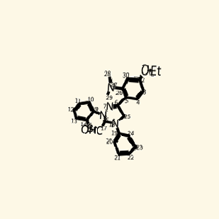 CCOc1ccc(C2=NN(c3ccccc3Br)C(C=O)N(c3ccccc3)C2)c(N(C)C)c1